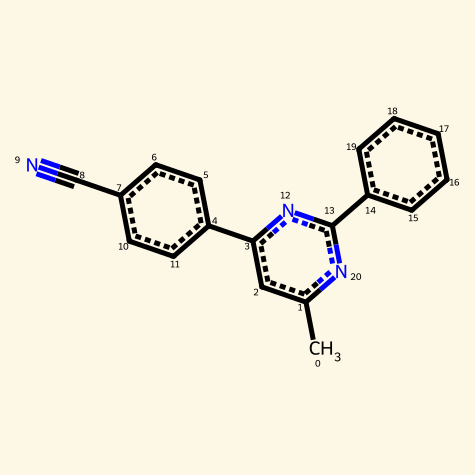 Cc1cc(-c2ccc(C#N)cc2)nc(-c2ccccc2)n1